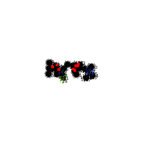 CC[Si](C)(CC)C1([Si](CC)(CC)CCc2cccc(-c3ccc(N(c4ccc(C(F)(F)F)cc4)c4cc5c(c6ccccc46)-c4cc6c(-c7ccccc7)ccc(-c7ccccc7)c6cc4C5([Si](C)(C)C)[Si](C)(C)C)cc3)c2)c2ccc3ccccc3c2-c2cc(-c3ccc(N(c4ccccc4)c4nc(-c5ccccc5)c5ccccc5n4)cc3)c3ccccc3c21